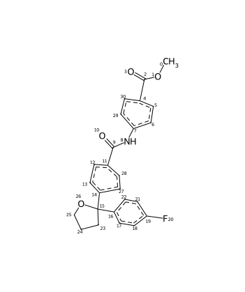 COC(=O)c1ccc(NC(=O)c2ccc(C3(c4ccc(F)cc4)CCCO3)cc2)cc1